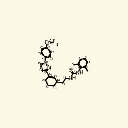 Cc1cccc(C)c1NC(=S)NCCC1C=C(c2ncn(-c3ccc(OC(F)(F)F)cc3)n2)CCC1